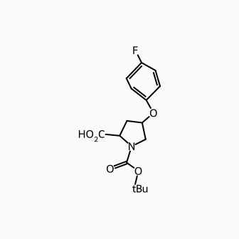 CC(C)(C)OC(=O)N1CC(Oc2ccc(F)cc2)CC1C(=O)O